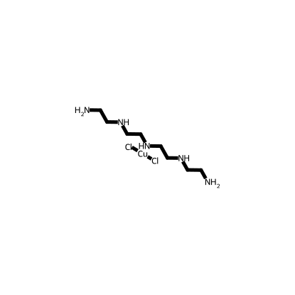 NCCNCCNCCNCCN.[Cl][Cu][Cl]